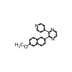 COc1ccc2cc(-c3nccnc3-c3ccncc3)ccc2c1